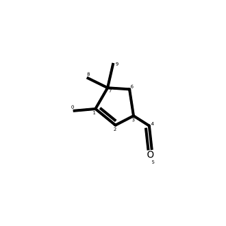 CC1=CC(C=O)CC1(C)C